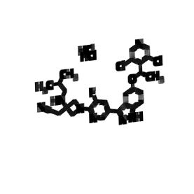 CC(C)CNC1(CC#N)CN(c2ncc(-c3n[nH]c4ccc(O[C@H](C)c5c(Cl)cncc5Cl)cc34)cc2F)C1.Cl.Cl